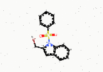 O=S(=O)(c1ccccc1)n1c(CBr)cc2ccccc21